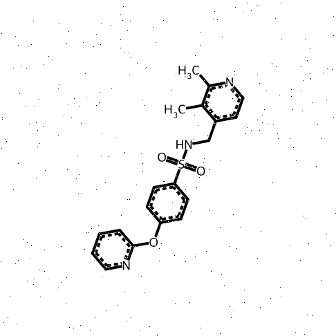 Cc1nccc(CNS(=O)(=O)c2ccc(Oc3ccccn3)cc2)c1C